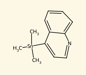 [CH3][Sn]([CH3])([CH3])[c]1ccnc2ccccc12